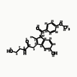 Cc1c(CC(=O)NCCO)c2cc(O)ccc2n1C(=O)c1ccc(OC(F)(F)F)cc1